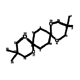 CC1(C)COC2(CCC3(CC2)OCC(C)(C)CO3)OC1